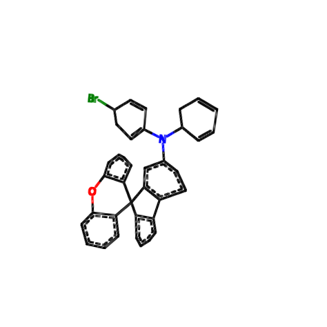 BrC1C=CC(N(c2ccc3c(c2)C2(c4ccccc4Oc4ccccc42)c2ccccc2-3)C2C=CC=CC2)=CC1